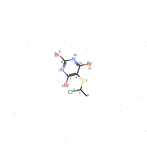 CC(Cl)Sc1c(Br)nc(Br)nc1Br